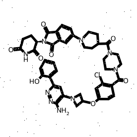 Nc1nnc(-c2ccccc2O)cc1N1CC(Oc2ccc(C(=O)N3CCN(C(=O)C4CCN(c5ccc6c(c5)C(=O)N([C@@H]5CCC(=O)NC5=O)C6=O)CC4)CC3)c(Cl)c2)C1